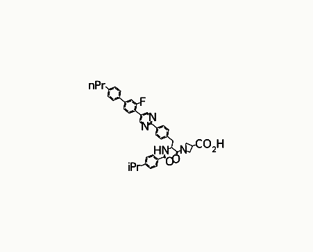 CCCc1ccc(-c2ccc(-c3cnc(-c4ccc(C[C@H](NC(=O)c5ccc(C(C)C)cc5)C(=O)N5CC(C(=O)O)C5)cc4)nc3)c(F)c2)cc1